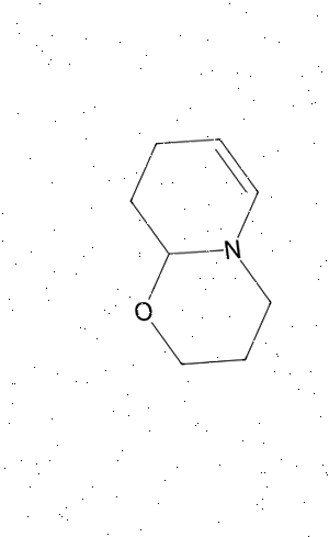 C1=CN2CCCOC2CC1